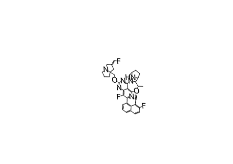 C#Cc1c(F)ccc2cccc(-c3nc4c5c(nc(OCC67CCCN6CC(=CF)C7)nc5c3F)N3CC5CCC(N5)C3C(C)O4)c12